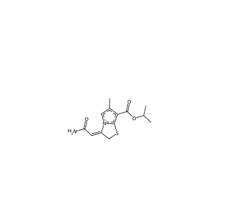 Cc1cn2c(c1C(=O)OC(C)C)SCC2=CC(N)=O